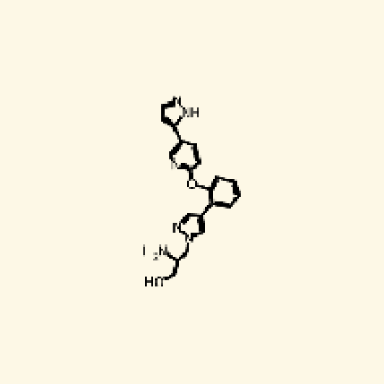 NC(CO)Cn1cc(-c2ccccc2Oc2ccc(-c3ccn[nH]3)cn2)cn1